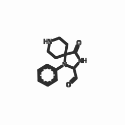 O=CC1NC(=O)C2(CCNCC2)N1c1ccccc1